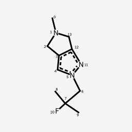 CN1Cc2cn(CC(C)(C)F)nc2C1